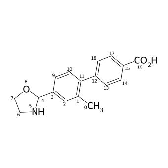 Cc1cc(C2NCCO2)ccc1-c1ccc(C(=O)O)cc1